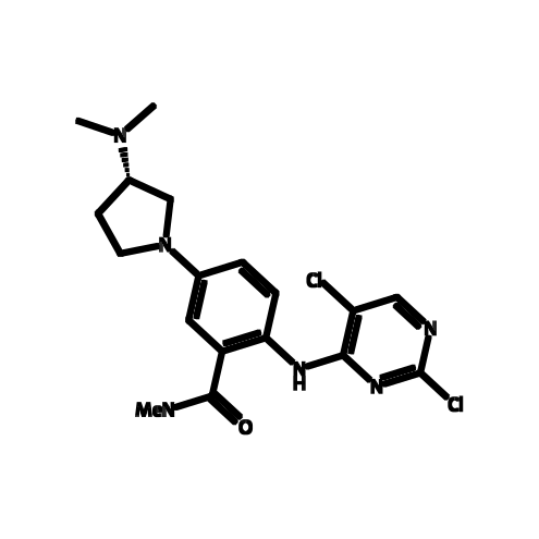 CNC(=O)c1cc(N2CC[C@H](N(C)C)C2)ccc1Nc1nc(Cl)ncc1Cl